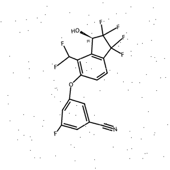 N#Cc1cc(F)cc(Oc2ccc3c(c2C(F)F)[C@@H](O)C(F)(F)C3(F)F)c1